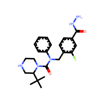 CC(C)(C)C1CNCCN1C(=O)N(Cc1ccc(C(=O)NN)cc1F)c1ccccc1